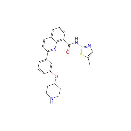 Cc1cnc(NC(=O)c2cccc3ccc(-c4cccc(OC5CCNCC5)c4)nc23)s1